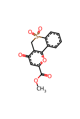 COC(=O)c1cc(=O)c2c(o1)-c1ccccc1S(=O)(=O)C2